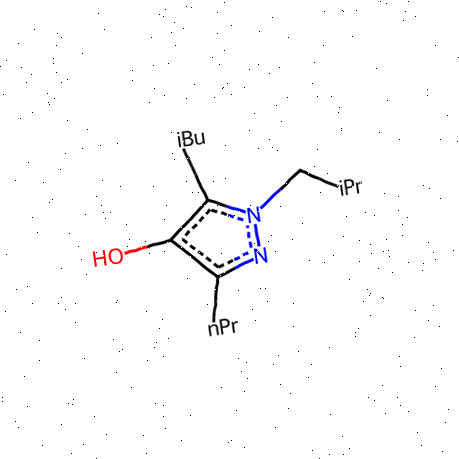 CCCc1nn(CC(C)C)c(C(C)CC)c1O